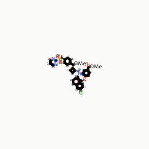 COC(=O)c1ccc2c(c1)N(C[C@@H]1CC[C@H]1C(OC)C1=CC[C@H](CS(=O)(=O)c3ncccn3)CC1)CC1(CCCc3cc(Cl)ccc31)CO2